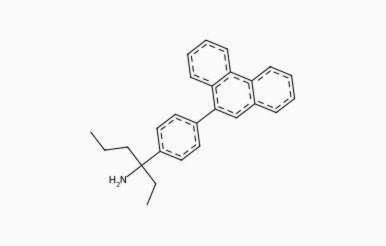 CCCC(N)(CC)c1ccc(-c2cc3ccccc3c3ccccc23)cc1